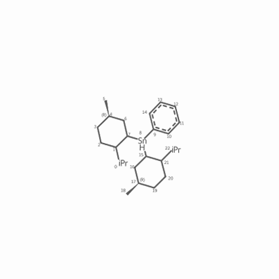 CC(C)C1CC[C@@H](C)C[CH]1[SnH]([c]1ccccc1)[CH]1C[C@H](C)CCC1C(C)C